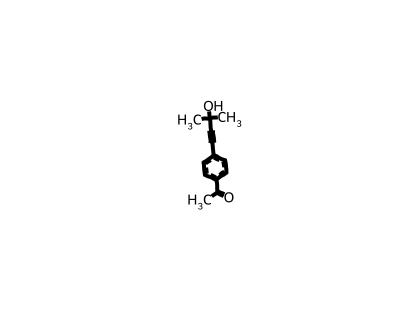 CC(=O)c1ccc(C#CC(C)(C)O)cc1